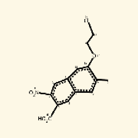 Cc1cc2cc(C(=O)O)c([N+](=O)[O-])cc2cc1OCCCl